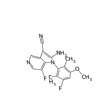 COc1cc(F)c(C)c(-n2c(N)c(C#N)c3cncc(F)c32)c1C